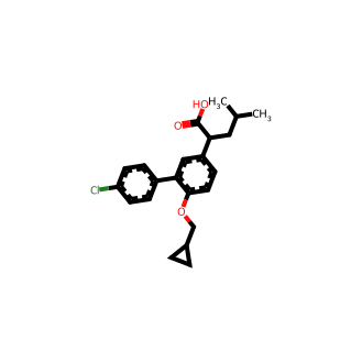 CC(C)CC(C(=O)O)c1ccc(OCC2CC2)c(-c2ccc(Cl)cc2)c1